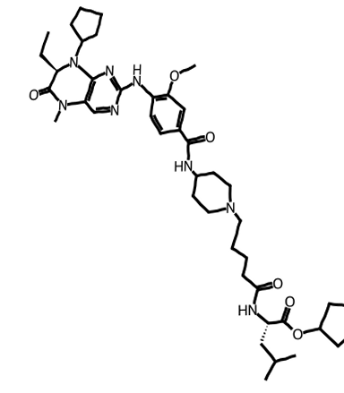 CC[C@@H]1C(=O)N(C)c2cnc(Nc3ccc(C(=O)NC4CCN(CCCCC(=O)N[C@@H](CC(C)C)C(=O)OC5CCCC5)CC4)cc3OC)nc2N1C1CCCC1